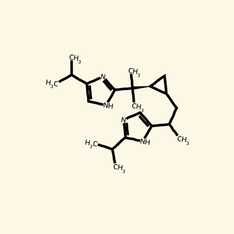 CC(C)c1c[nH]c(C(C)(C)[C@H]2CC2CC(C)c2cnc(C(C)C)[nH]2)n1